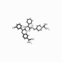 N=C(N)c1ccc(CC(C(=O)NC(C(=O)NCC2CCN(C(=N)N)CC2)C2CCCCC2)c2cccc(Cl)c2)cc1